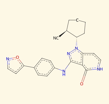 N#C[C@H]1CCCC[C@@H]1n1nc(Nc2ccc(-c3ccno3)cc2)c2c(=O)[nH]ccc21